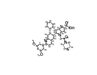 COc1cc(OC)cc(-c2ccc3cc(-c4c(-c5ccccc5)c5sc(C(=O)O)cc5n4CC(=O)N4CCSCC4)ccc3n2)c1